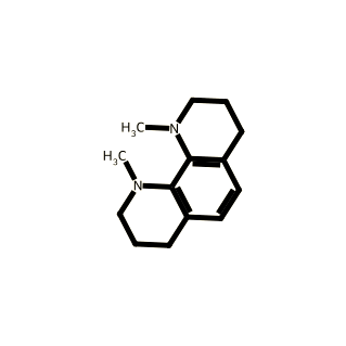 CN1CCCc2ccc3c(c21)N(C)CCC3